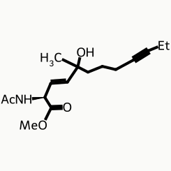 CCC#CCCCC(C)(O)/C=C/[C@H](NC(C)=O)C(=O)OC